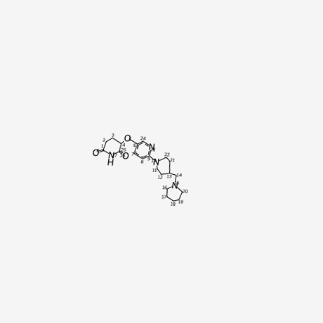 O=C1CCC(Oc2ccc(N3CCC(CN4CCCCC4)CC3)nc2)C(=O)N1